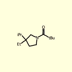 CCC1(C(C)C)CCN(C(=O)C(C)(C)C)C1